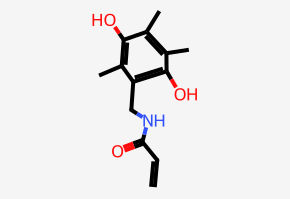 C=CC(=O)NCc1c(C)c(O)c(C)c(C)c1O